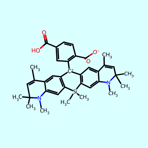 CC1=CC(C)(C)N(C)c2cc3c(cc21)[C+](c1cc(C(=O)O)ccc1C(=O)[O-])c1cc2c(cc1[Si]3(C)C)N(C)C(C)(C)C=C2C